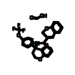 O=C(NC1(c2ccc(OC(F)(F)F)cc2)CCOc2cccnc21)C1=Cc2ccccc2OC1.O=CO